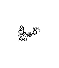 Cc1cccc(-c2ccn(-c3cc(N4CCOCC4)c([N+](=O)[O-])c(N4CCOCC4=O)n3)n2)c1